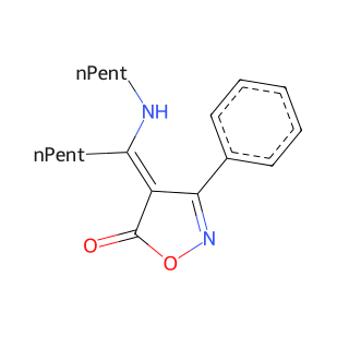 CCCCCNC(CCCCC)=C1C(=O)ON=C1c1ccccc1